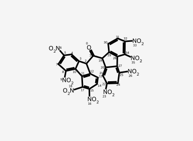 O=C(C1c2cc([N+](=O)[O-])cc([N+](=O)[O-])c2-c2c1ccc([N+](=O)[O-])c2[N+](=O)[O-])C1c2cc([N+](=O)[O-])cc([N+](=O)[O-])c2-c2c1ccc([N+](=O)[O-])c2[N+](=O)[O-]